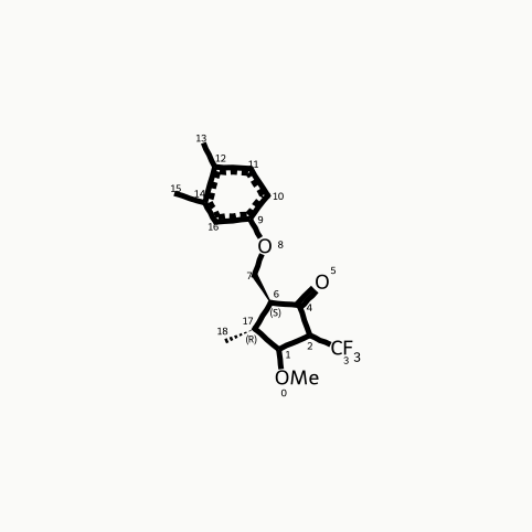 COC1C(C(F)(F)F)C(=O)[C@H](COc2ccc(C)c(C)c2)[C@H]1C